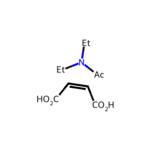 CCN(CC)C(C)=O.O=C(O)/C=C\C(=O)O